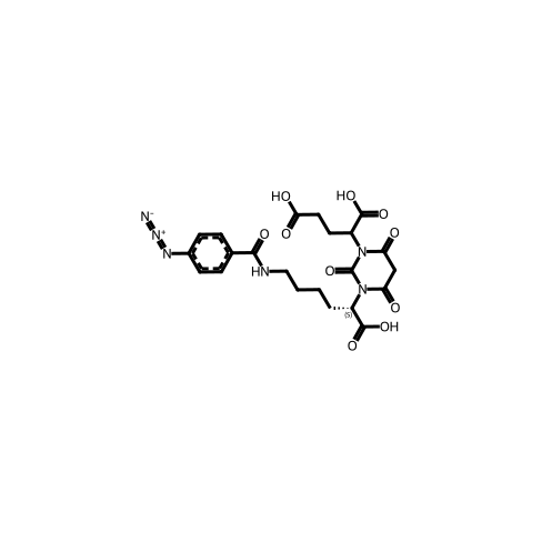 [N-]=[N+]=Nc1ccc(C(=O)NCCCC[C@@H](C(=O)O)N2C(=O)CC(=O)N(C(CCC(=O)O)C(=O)O)C2=O)cc1